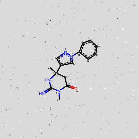 CN1C(=N)N[C@](C)(c2cnn(-c3ccccc3)c2)CC1=O